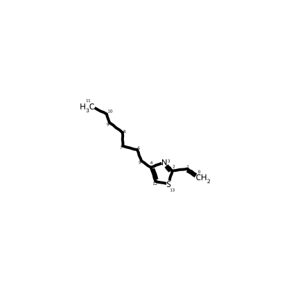 C=Cc1nc(CCCCCCC)cs1